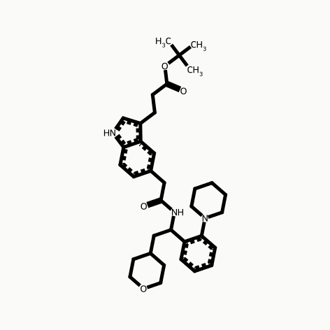 CC(C)(C)OC(=O)CCc1c[nH]c2ccc(CC(=O)NC(CC3CCOCC3)c3ccccc3N3CCCCC3)cc12